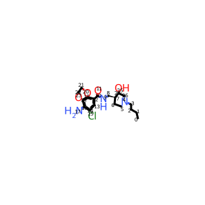 CCCCN1CC[C@@H](CNC(=O)c2cc(Cl)c(N)c3c2OCCO3)[C@H](O)C1